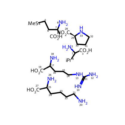 CC(C)C(N)C(=O)O.CSCCC(N)C(=O)O.N=C(N)NCCCC(N)C(=O)O.NCCCCC(N)C(=O)O.O=C(O)[C@@H]1CCCN1